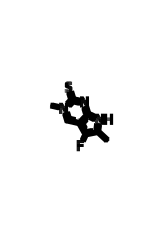 Cc1[nH]c2nc(=S)n(C)cc2c1F